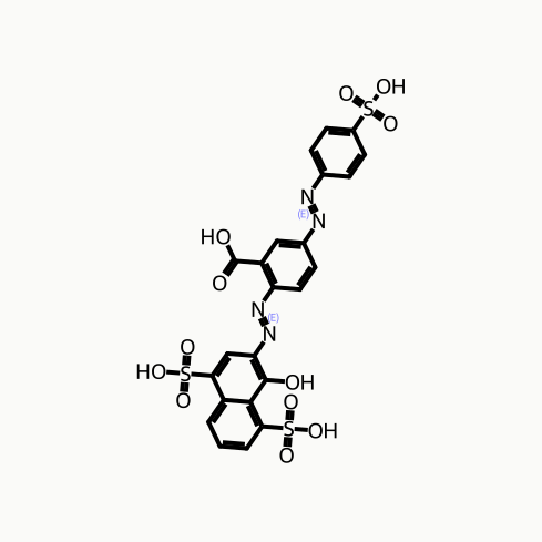 O=C(O)c1cc(/N=N/c2ccc(S(=O)(=O)O)cc2)ccc1/N=N/c1cc(S(=O)(=O)O)c2cccc(S(=O)(=O)O)c2c1O